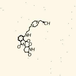 C#CCN1CCN(CCCNc2cccc3c2C(=O)N(C2CCC(=O)NC2=O)C3=O)CC1